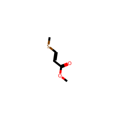 COC(=O)/C=C/SC